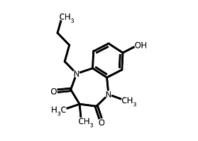 CCCCN1C(=O)C(C)(C)C(=O)N(C)c2cc(O)ccc21